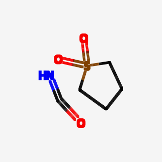 N=C=O.O=S1(=O)CCCC1